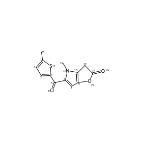 Cc1ccc(C(=O)c2cc3c(n2C)CC(=O)O3)s1